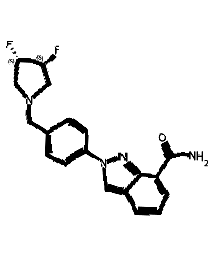 NC(=O)c1cccc2cn(-c3ccc(CN4C[C@H](F)[C@@H](F)C4)cc3)nc12